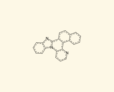 c1ccc2c(c1)ccc1c2c2ncccc2n2c3ccccc3nc12